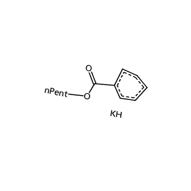 CCCCCOC(=O)c1ccccc1.[KH]